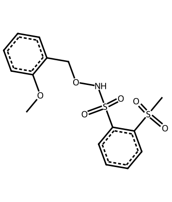 COc1ccccc1CONS(=O)(=O)c1ccccc1S(C)(=O)=O